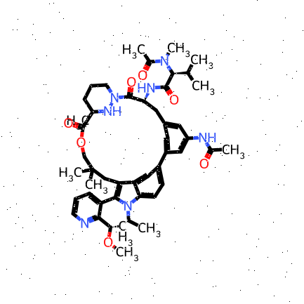 CCn1c(-c2cccnc2[C@H](C)OC)c2c3cc(ccc31)-c1cc(cc(NC(C)=O)c1)C[C@H](NC(=O)[C@H](C(C)C)N(C)C(C)=O)C(=O)N1CCC[C@@](C)(N1)C(=O)OCC(C)(C)C2